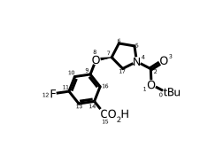 CC(C)(C)OC(=O)N1CC[C@H](Oc2cc(F)cc(C(=O)O)c2)C1